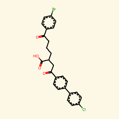 O=C(CCCC(CC(=O)c1ccc(-c2ccc(Cl)cc2)cc1)C(=O)O)c1ccc(Br)cc1